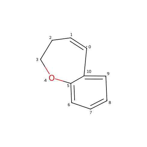 [C]1=CCCOc2ccccc21